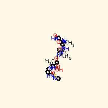 Cc1c(OCCN2C[C@@H](C)N(CC(=O)Nc3ccc4c(C5CCC(=O)NC5=O)nn(C)c4c3)[C@@H](C)C2)cccc1-c1ccc(N2CCc3cccc(C(=O)Nc4nc5ccccc5s4)c3C2)nc1C(=O)O